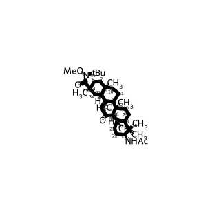 CON(C(=O)[C@@]1(C)CC[C@]2(C)CC[C@]3(C)C(=CC(=O)[C@@H]4[C@@]5(C)CC[C@H](NC(C)=O)C(C)(C)C5CC[C@]43C)[C@@H]2C1)C(C)(C)C